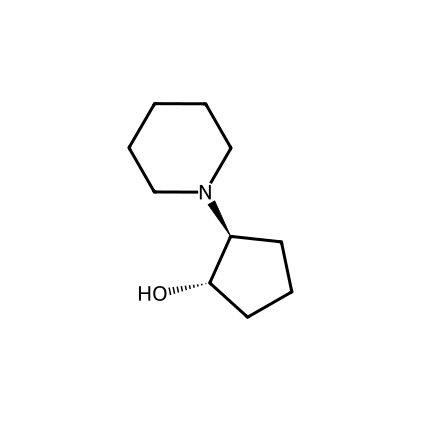 O[C@H]1CCC[C@@H]1N1CCCCC1